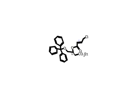 CCOC(=O)C[C@@H](COC(c1ccccc1)(c1ccccc1)c1ccccc1)OC(=O)/C=C/CCl